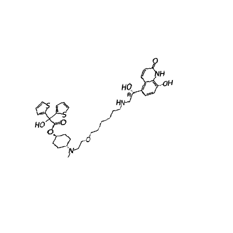 CN(CCOCCCCCCNC[C@H](O)c1ccc(O)c2[nH]c(=O)ccc12)[C@H]1CC[C@H](OC(=O)C(O)(c2cccs2)c2cccs2)CC1